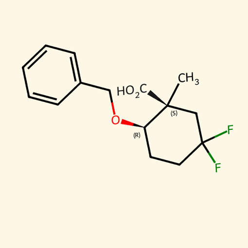 C[C@]1(C(=O)O)CC(F)(F)CC[C@H]1OCc1ccccc1